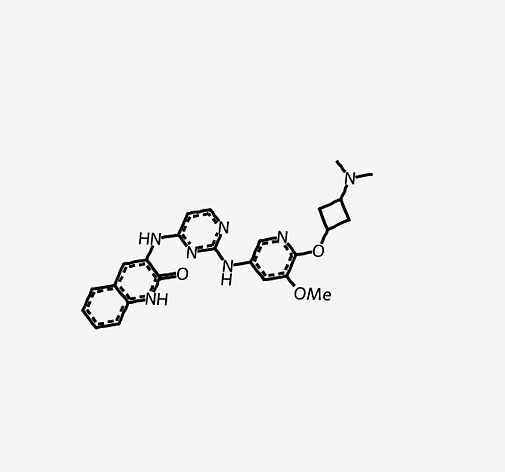 COc1cc(Nc2nccc(Nc3cc4ccccc4[nH]c3=O)n2)cnc1OC1CC(N(C)C)C1